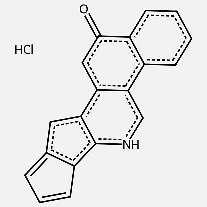 Cl.O=c1cc2c3cc4c(c3[nH]cc2c2ccccc12)C=CC=4